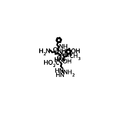 Cc1ccc(O)c(C)c1CC(NC(=O)C(CCCCN)NC(=O)C(N)Cc1ccccc1)C(O)NC(CCCNC(=N)N)C(=O)O